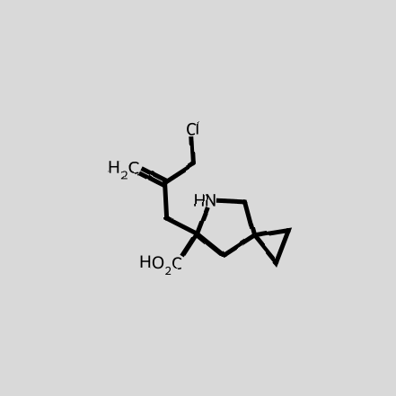 C=C(CCl)CC1(C(=O)O)CC2(CC2)CN1